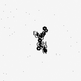 CCC(=O)N[C@H](Cc1ccc(NC(=O)C(CNC(=O)c2ccnn2C)C2CCCCC2)cc1)C(=O)N1CCN(C2CCc3ccccc32)CC1